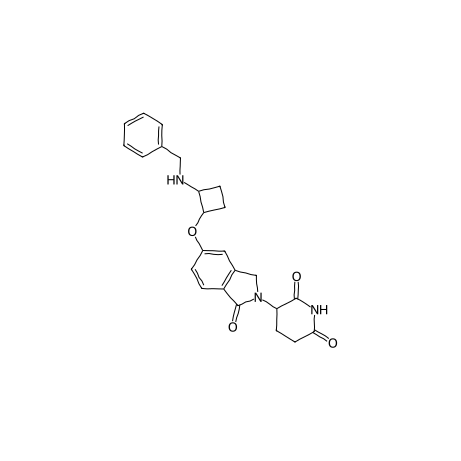 O=C1CCC(N2Cc3cc(OC4CCC4NCc4ccccc4)ccc3C2=O)C(=O)N1